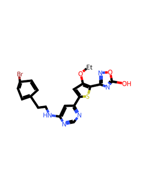 CCOc1cc(-c2cc(NCCc3ccc(Br)cc3)ncn2)sc1-c1noc(O)n1